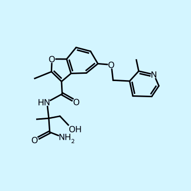 Cc1ncccc1COc1ccc2oc(C)c(C(=O)NC(C)(CO)C(N)=O)c2c1